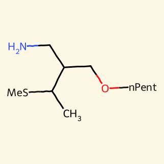 CCCCCOCC(CN)C(C)SC